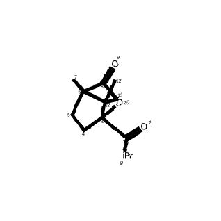 CC(C)C(=O)C12CCC(C)(C(=O)O1)C2(C)C